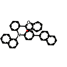 c1ccc(N(c2ccc(-c3ccc4ccccc4c3)cc2)c2cccc3ccccc23)c(-c2cc3ccccc3o2)c1